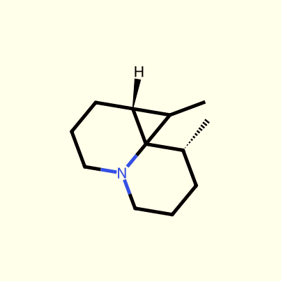 CC1[C@H]2CCCN3CCC[C@@H](C)C123